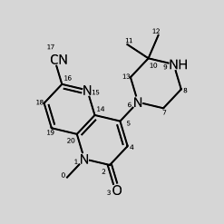 Cn1c(=O)cc(N2CCNC(C)(C)C2)c2nc(C#N)ccc21